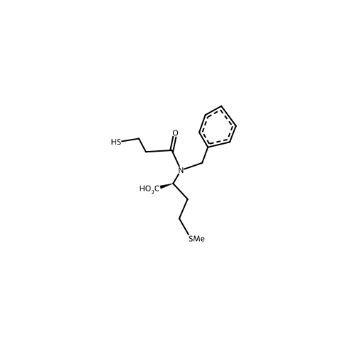 CSCC[C@@H](C(=O)O)N(Cc1ccccc1)C(=O)CCS